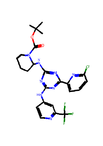 CC(C)(C)OC(=O)N1CCCCC1Nc1nc(Nc2ccnc(C(F)(F)F)c2)nc(-c2cccc(Cl)n2)n1